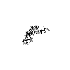 CCCCOC(=O)NCCN(Cc1cncn1C)c1ccc(-c2ccccc2)cc1